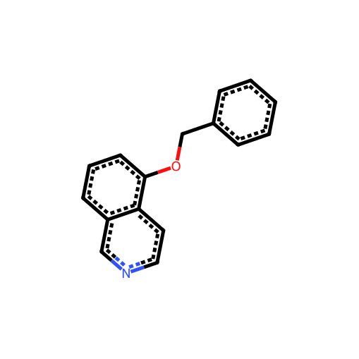 c1ccc(COc2cccc3cnccc23)cc1